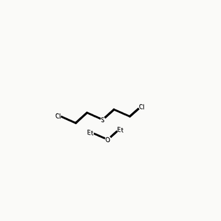 CCOCC.ClCCSCCCl